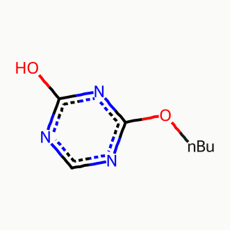 CCCCOc1ncnc(O)n1